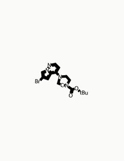 CC(C)(C)OC(=O)N1CCN(c2ccnn3cc(Br)cc23)CC1